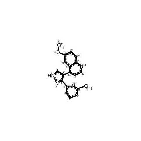 Cc1cccc(-c2n[nH]cc2-c2ccnc3ccc(OC(F)(F)F)cc23)n1